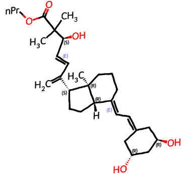 C=C(/C=C/[C@H](O)C(C)(C)C(=O)OCCC)[C@H]1CC[C@H]2/C(=C/C=C3C[C@@H](O)C[C@H](O)C3)CCC[C@]12C